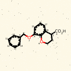 O=C(O)C1CCOc2c(OCc3ccccc3)cccc21